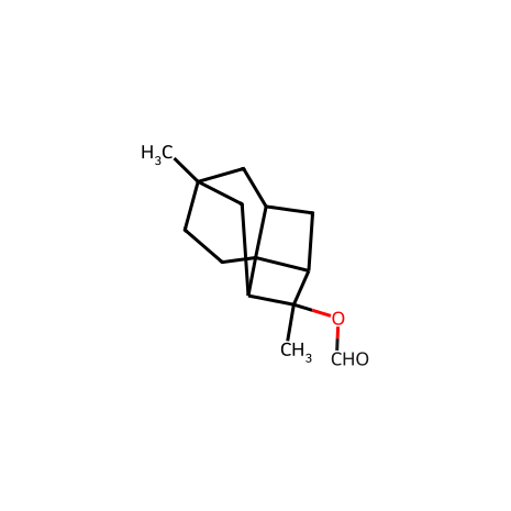 CC12CCC34C(CC3C(C)(OC=O)C4C1)C2